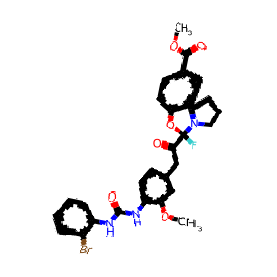 COC(=O)c1ccc(OC(F)(C(=O)Cc2ccc(NC(=O)Nc3ccccc3Br)c(OC)c2)N2CCCC2)cc1